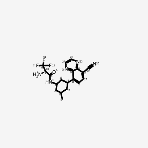 CC1CC(NC(=O)[C@@H](N)C(F)(F)F)CC(c2ccc(C#N)c3nccnc23)C1